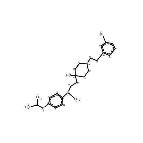 CC(C)Oc1ccc(N(C)CCC2(O)CCN(CCc3cccc(Br)c3)CC2)cc1